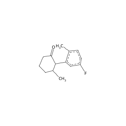 Cc1ccc(F)cc1C1C(=O)CCCC1C